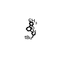 Cc1ccc2oc3c(-c4cc(CC(C)(C)C)ccn4)cccc3c2c1